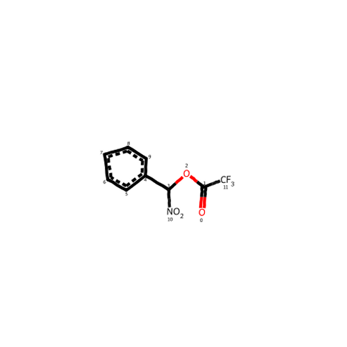 O=C(OC(c1ccccc1)[N+](=O)[O-])C(F)(F)F